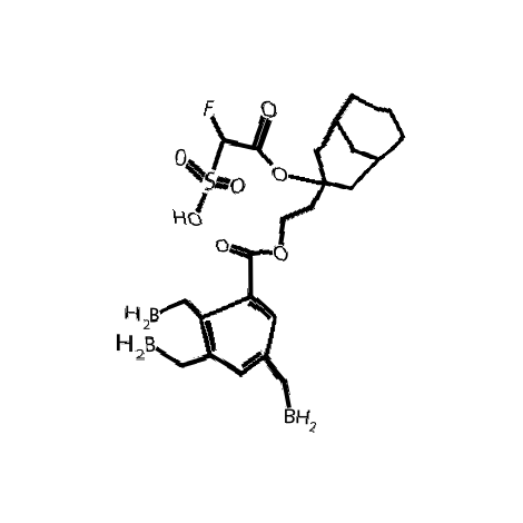 BCc1cc(CB)c(CB)c(C(=O)OCCC2(OC(=O)C(F)S(=O)(=O)O)CC3CCCC(C3)C2)c1